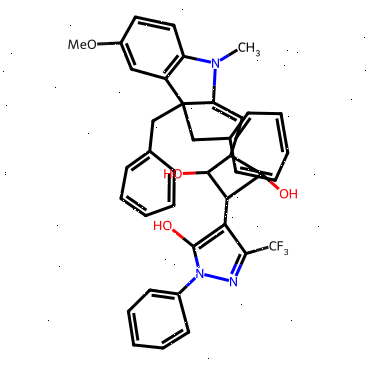 COc1ccc2c(c1)C(Cc1ccccc1)(Cc1ccccc1)C(=CC1C(O)C(c3c(C(F)(F)F)nn(-c4ccccc4)c3O)C1O)N2C